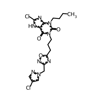 CCCCn1c(=O)n(CCCc2nc(Cn3cc(Cl)cn3)no2)c(=O)c2[nH]c(Cl)nc21